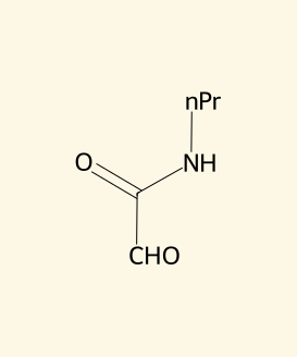 CCCNC(=O)C=O